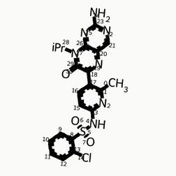 Cc1nc(NS(=O)(=O)c2ccccc2Cl)ccc1-c1nc2cnc(N)nc2n(C(C)C)c1=O